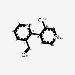 O=Cc1cccnc1-c1ccncc1Cl